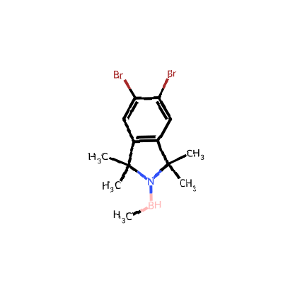 CBN1C(C)(C)c2cc(Br)c(Br)cc2C1(C)C